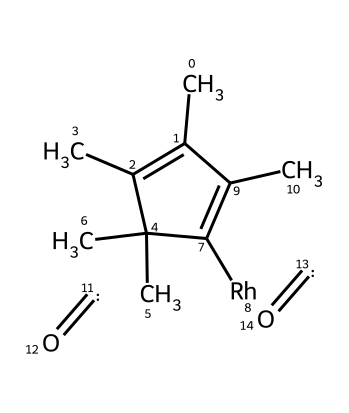 CC1=C(C)C(C)(C)[C]([Rh])=C1C.[C]=O.[C]=O